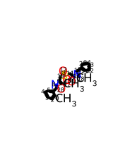 Cc1ccccc1-c1nc(CS(=O)(=O)CC(=O)N(C)Cc2ccccc2)c(C)o1